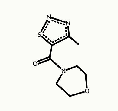 Cc1nnsc1C(=O)N1CCOCC1